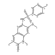 COc1cc2c(cc1NS(=O)(=O)c1ccc(C)cc1)cc(C)c(=O)n2C